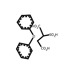 O=C(O)CC(C(=O)O)S(=O)(=O)O.c1ccc(Oc2ccccc2)cc1